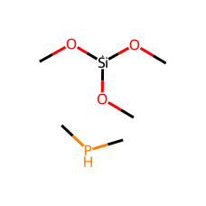 CO[Si](OC)OC.CPC